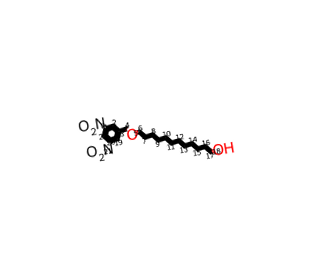 O=[N+]([O-])c1cc(COCCCCCCCCCCCCO)cc([N+](=O)[O-])c1